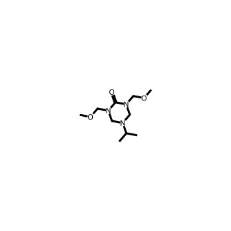 COCN1CN(C(C)C)CN(COC)C1=O